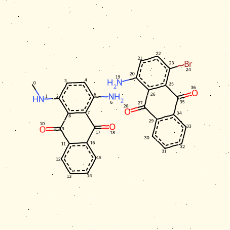 CNc1ccc(N)c2c1C(=O)c1ccccc1C2=O.Nc1ccc(Br)c2c1C(=O)c1ccccc1C2=O